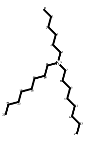 CCCCC[CH]N(CCCCCCCC)CCCCCCCC